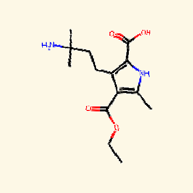 CCOC(=O)c1c(C)[nH]c(C(=O)O)c1CCC(C)(C)N